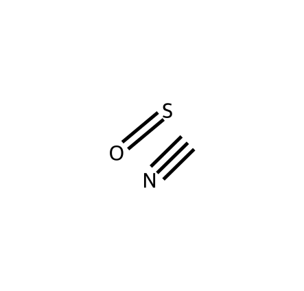 C#N.O=S